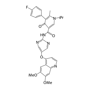 COc1cc2nccc(Oc3cnc(NC(=O)c4cn(C(C)C)c(C)c(-c5ccc(F)cc5)c4=O)nc3)c2cc1OC